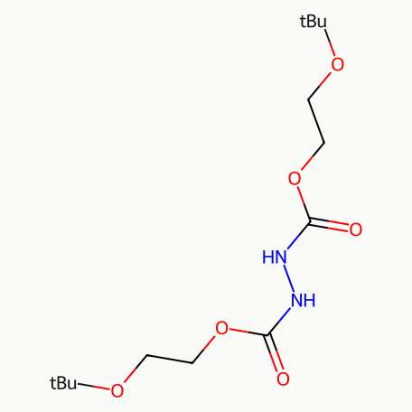 CC(C)(C)OCCOC(=O)NNC(=O)OCCOC(C)(C)C